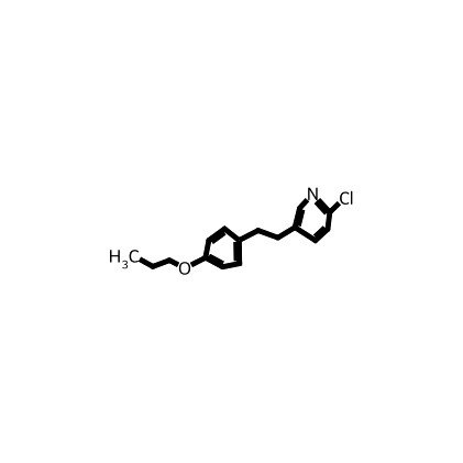 CCCOc1ccc(CCc2ccc(Cl)nc2)cc1